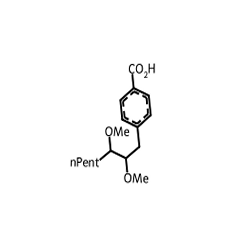 CCCCCC(OC)C(Cc1ccc(C(=O)O)cc1)OC